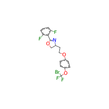 Fc1cccc(F)c1C1=NC(CCOc2ccc(OC(F)(F)Br)cc2)CO1